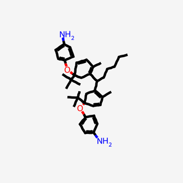 CCCCCC(C1=C(C)C=CC(Oc2ccc(N)cc2)(C(C)(C)C)C1)C1=C(C)C=CC(Oc2ccc(N)cc2)(C(C)(C)C)C1